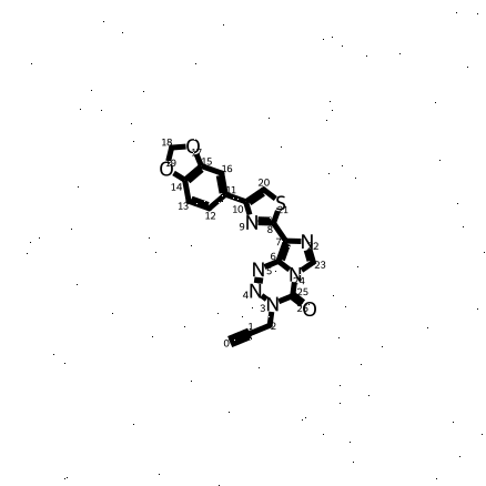 C#CCn1nnc2c(-c3nc(-c4ccc5c(c4)OCO5)cs3)ncn2c1=O